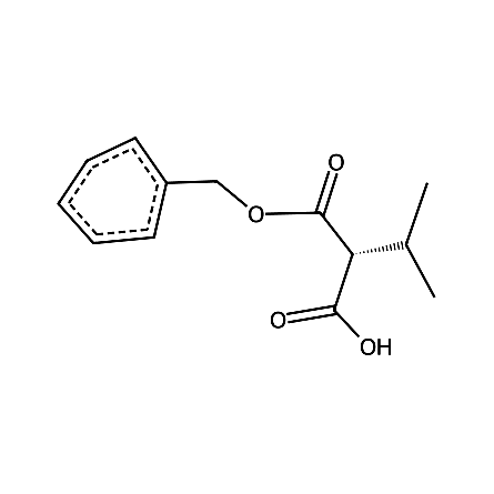 CC(C)[C@H](C(=O)O)C(=O)OCc1ccccc1